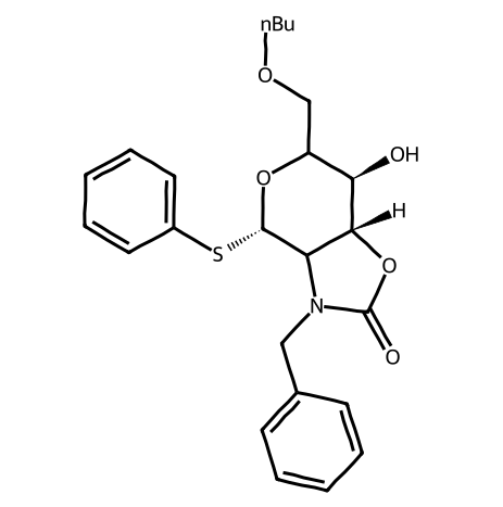 CCCCOCC1O[C@@H](Sc2ccccc2)C2[C@@H](OC(=O)N2Cc2ccccc2)[C@@H]1O